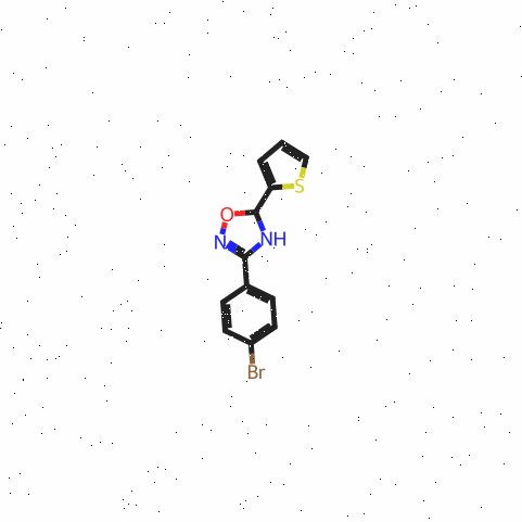 Brc1ccc(C2=NOC(c3cccs3)N2)cc1